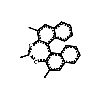 Cc1cc2ccccc2c2c1op(C)oc1c(C)cc3ccccc3c12